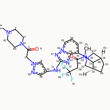 CN1CCN(C(=O)Cn2cc(Nc3nc4c(N5C[C@H]6CC[C@@H](C5)C6N(C)C(=O)CC(F)(F)F)cccn4n3)cn2)CC1